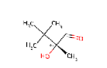 CC(C)(C)[C@@](C)(O)C=O